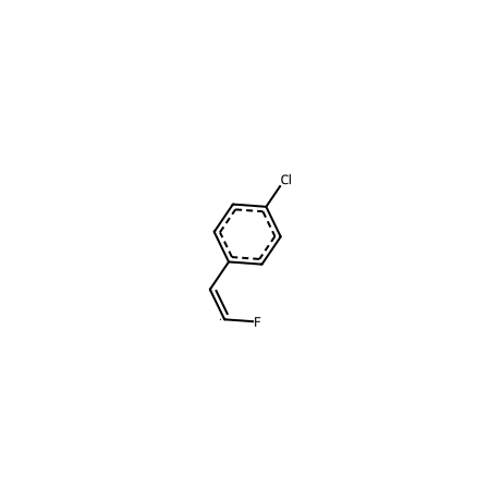 F/[C]=C\c1ccc(Cl)cc1